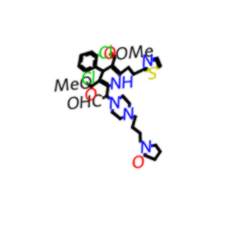 COC(=O)C1=C(CCc2nccs2)NC(C(C=O)N2CCN(CCCCN3CCCC3=O)CC2)=C(C(=O)OC)C1c1c(Cl)cccc1Cl